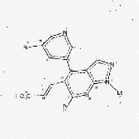 CCn1ncc2c(-c3cncc(Br)c3)c(/C=C/C(=O)O)c(C(C)C)nc21